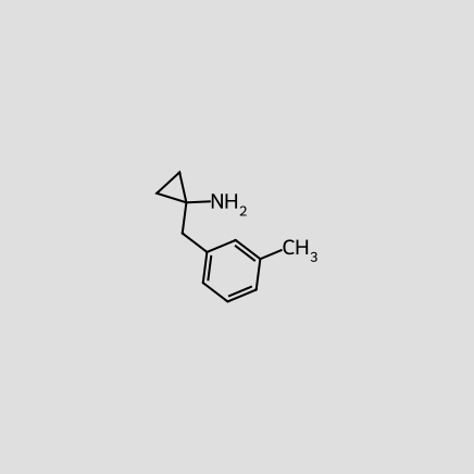 Cc1cccc(CC2(N)CC2)c1